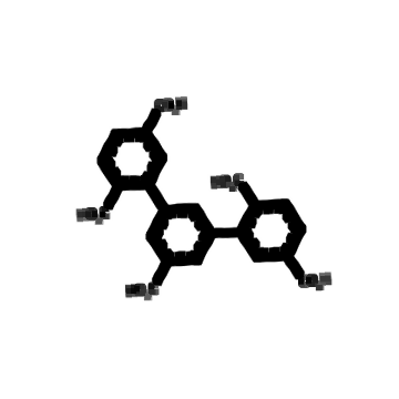 O=C(O)c1cc(-c2cc(C(=O)O)ccc2C(=O)O)cc(-c2cc(C(=O)O)ccc2C(=O)O)c1